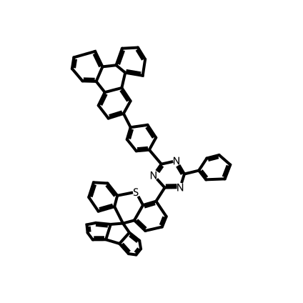 c1ccc(-c2nc(-c3ccc(-c4ccc5c6ccccc6c6ccccc6c5c4)cc3)nc(-c3cccc4c3Sc3ccccc3C43c4ccccc4-c4ccccc43)n2)cc1